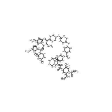 C=C(C(=O)N1CCC(CN2CCN(Cc3ccc(C(=O)c4ccc(C5CC6CCC5CCC(NC(=O)c5cc(N[C@H](C)CC)c(C(N)=O)cc5C)C6)nc4)cc3)CC2)CC1)[C@@H]1N=C(c2ccc(Cl)cc2)c2c(sc(C)c2C)-n2c(C)nnc21